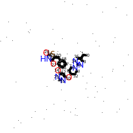 CCc1cnc(N2CCC(Oc3cc(Oc4cccc(/C=C5/SC(=O)NC5=O)c4)ncn3)CC2)nc1